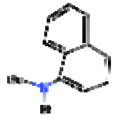 CCN(c1cccc2ccccc12)C(C)(C)C